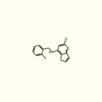 Fc1ccccc1CNc1cc(Cl)nc2ccsc12